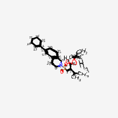 CC(C)C(CS(=O)(=O)N1CCc2cc(C3CCCCC3)ccc2C1)C(=O)OC(C)(C)C